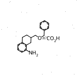 Nc1cccc2c1CC(CO[C@@H](C(=O)O)c1ccccc1)CC2